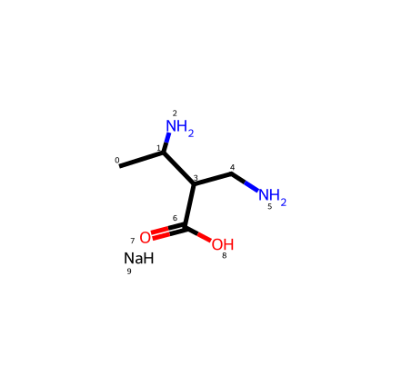 CC(N)C(CN)C(=O)O.[NaH]